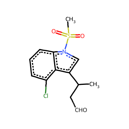 CC(CC=O)c1cn(S(C)(=O)=O)c2cccc(Cl)c12